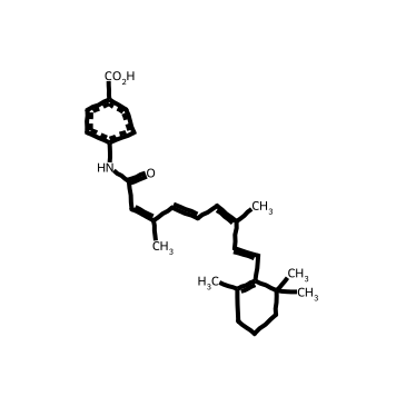 CC1=C(/C=C/C(C)=C\C=C\C(C)=C/C(=O)Nc2ccc(C(=O)O)cc2)C(C)(C)CCC1